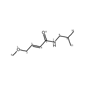 COC/C=C/C(=O)NCC(C)C